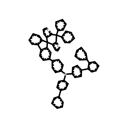 c1ccc(-c2ccc(N(c3ccc(-c4ccc5c(c4)C4(c6ccccc6-5)c5ccccc5C(c5ccccc5)(c5ccccc5)c5ccccc54)cc3)c3ccc(-c4ccccc4-c4ccccc4)cc3)cc2)cc1